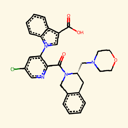 O=C(O)c1cn(-c2cc(Cl)cnc2C(=O)N2Cc3ccccc3C[C@H]2CN2CCOCC2)c2ccccc12